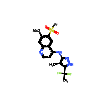 COc1cc2nccc(Nc3n[nH]c(C(C)(F)F)c3C)c2cc1S(=O)(=O)C(C)C